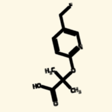 CC(C)(Oc1ccc(CF)cn1)C(=O)O